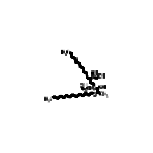 CCCCCCCCCCCC(CCOC(C)C(O)OCCC(CCCCCCCCCCC)N(C)CO)N(C)CO